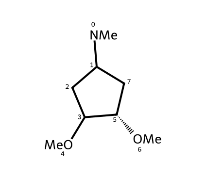 CNC1CC(OC)[C@@H](OC)C1